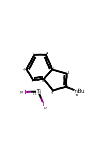 CCCCC1=Cc2ccccc2[CH]1.[I][Ti][I]